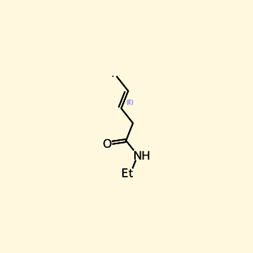 [CH2]/C=C/CC(=O)NCC